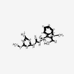 COc1nc(C)nc(NC(=O)NS(=O)(=O)c2c(C(=O)O)n(C)c3ccccc23)n1